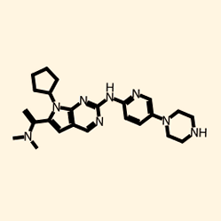 C=C(c1cc2cnc(Nc3ccc(N4CCNCC4)cn3)nc2n1C1CCCC1)N(C)C